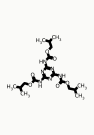 CC(C)COC(=O)Nc1nc(NC(=O)OCC(C)C)nc(NC(=O)OCC(C)C)n1